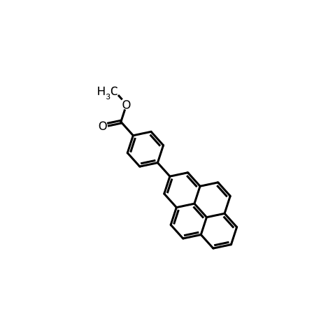 COC(=O)c1ccc(-c2cc3ccc4cccc5ccc(c2)c3c45)cc1